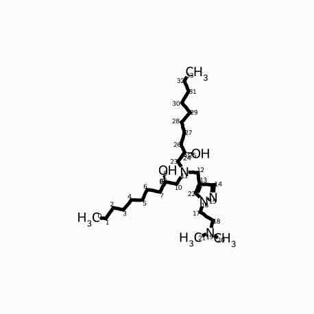 CCCCCCCC[C@@H](O)CN(Cc1cnn(CCN(C)C)c1)C[C@@H](O)CCCCCCCC